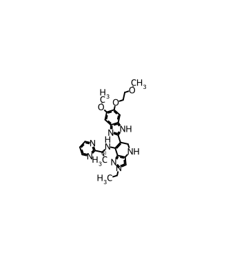 CCn1cc2c(n1)C(N[C@@H](C)c1ncccn1)=C(c1nc3cc(OC)c(OCCOC)cc3[nH]1)CN2